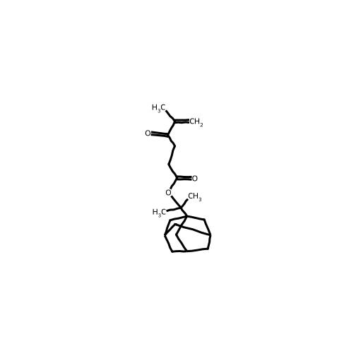 C=C(C)C(=O)CCC(=O)OC(C)(C)C12CC3CC(CC(C3)C1)C2